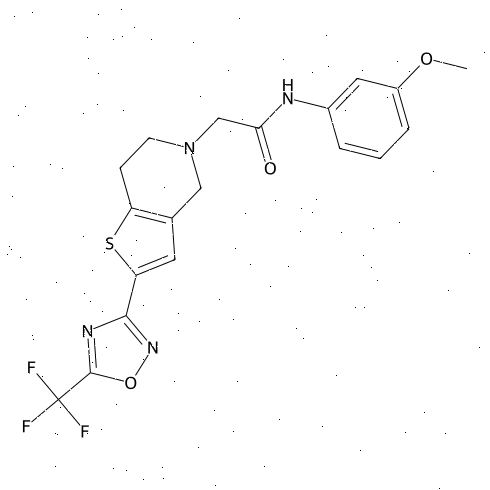 COc1cccc(NC(=O)CN2CCc3sc(-c4noc(C(F)(F)F)n4)cc3C2)c1